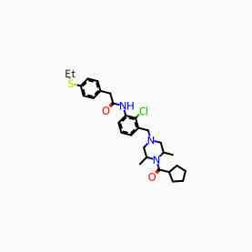 CCSc1ccc(CC(=O)Nc2cccc(CN3CC(C)N(C(=O)C4CCCC4)C(C)C3)c2Cl)cc1